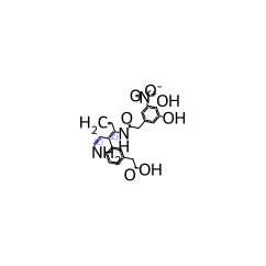 C=C/C(NC(=O)Cc1cc(O)c(O)c([N+](=O)[O-])c1)=C(\C=C/N)c1cccc(CC(=O)O)c1